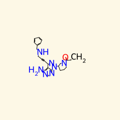 C=CC(=O)N1CCC[C@@H](n2nc(C#CCNCc3ccccc3)c3c(N)ncnc32)C1